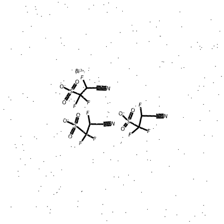 N#CC(F)C(F)(F)S(=O)(=O)[O-].N#CC(F)C(F)(F)S(=O)(=O)[O-].N#CC(F)C(F)(F)S(=O)(=O)[O-].[Bi+3]